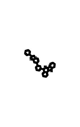 c1ccc(-c2cn3ccc(-c4cccc(-c5nc6c(nc7ccccn76)c6ccccc56)c4)cc3n2)cc1